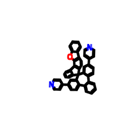 c1ccc2c(c1)-c1ccc(-c3ccncc3)cc1C1(c3cc(-c4ccncc4)ccc3-2)c2ccccc2-c2c1ccc1c2oc2ccccc21